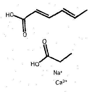 C/C=C/C=C/C(=O)O.CCC(=O)O.[Ca+2].[Na+]